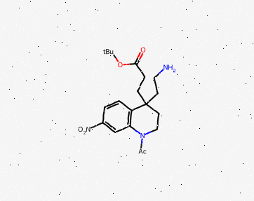 CC(=O)N1CCC(CCN)(CCC(=O)OC(C)(C)C)c2ccc([N+](=O)[O-])cc21